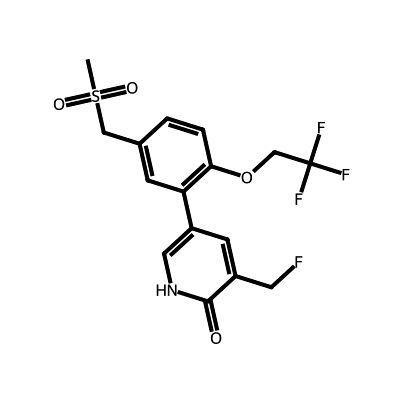 CS(=O)(=O)Cc1ccc(OCC(F)(F)F)c(-c2c[nH]c(=O)c(CF)c2)c1